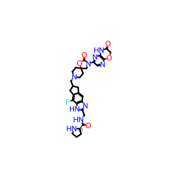 O=C1COc2ncc(N3CC4(CCN(CC5Cc6cc7nc(CNC(=O)[C@H]8CCCN8)[nH]c7c(F)c6C5)CC4)OC3=O)nc2N1